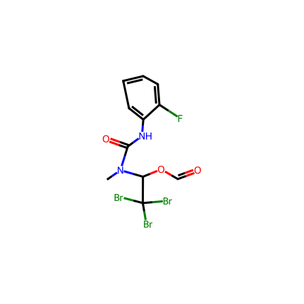 CN(C(=O)Nc1ccccc1F)C(OC=O)C(Br)(Br)Br